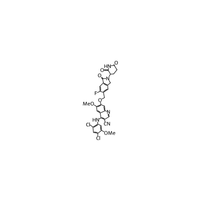 COc1cc(Nc2c(C#N)cnc3cc(OCc4cc5c(cc4F)C(=O)N(C4CCC(=O)NC4=O)C5)c(OC)cc23)c(Cl)cc1Cl